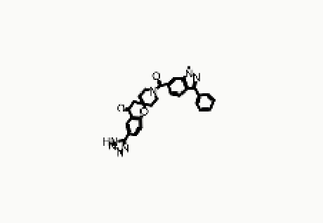 Cn1nc(-c2ccccc2)c2ccc(C(=O)N3CCC4(CC3)CC(=O)c3cc(-c5nnn[nH]5)ccc3O4)cc21